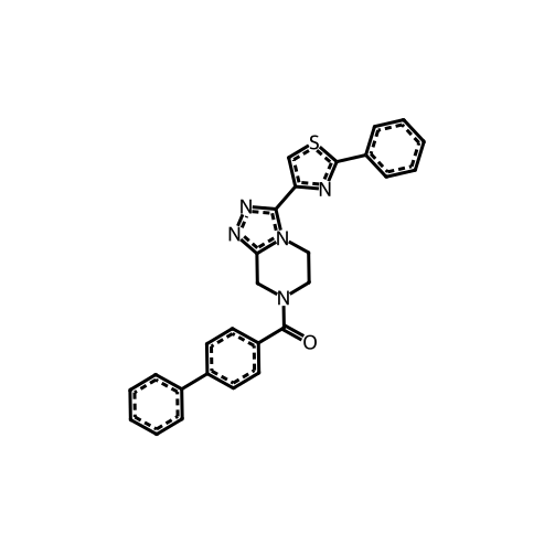 O=C(c1ccc(-c2ccccc2)cc1)N1CCn2c(nnc2-c2csc(-c3ccccc3)n2)C1